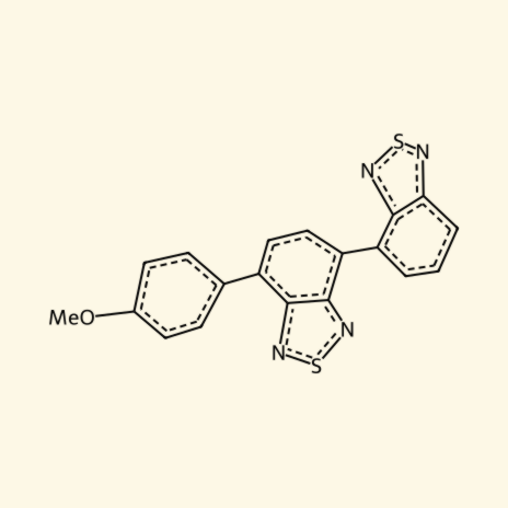 COc1ccc(-c2ccc(-c3cccc4nsnc34)c3nsnc23)cc1